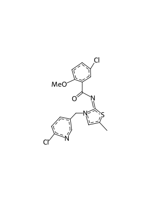 COc1ccc(Cl)cc1C(=O)N=c1sc(C)cn1Cc1ccc(Cl)nc1